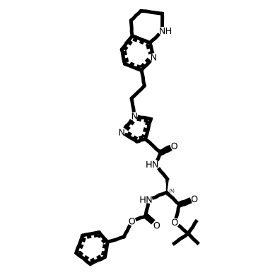 CC(C)(C)OC(=O)[C@H](CNC(=O)c1cnn(CCc2ccc3c(n2)NCCC3)c1)NC(=O)OCc1ccccc1